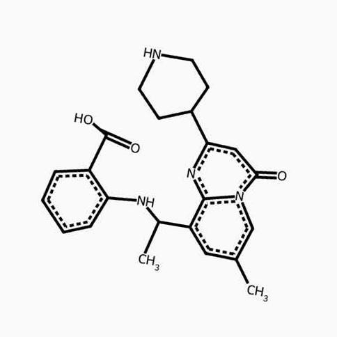 Cc1cc(C(C)Nc2ccccc2C(=O)O)c2nc(C3CCNCC3)cc(=O)n2c1